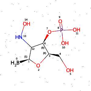 B[C@@H]1O[C@H](CO)[C@H](OP(=O)(O)O)C1NO